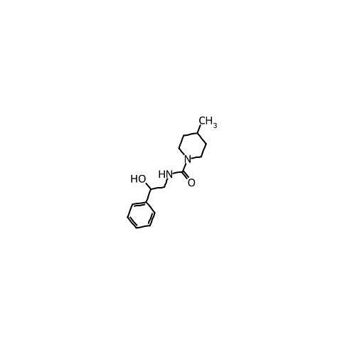 CC1CCN(C(=O)NCC(O)c2ccccc2)CC1